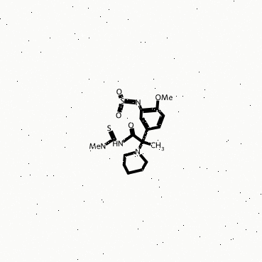 CNC(=S)NC(=O)C(C)(c1ccc(OC)c(N=S(=O)=O)c1)N1CCCCC1